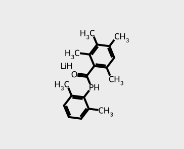 Cc1cc(C)c(C(=O)Pc2c(C)cccc2C)c(C)c1C.[LiH]